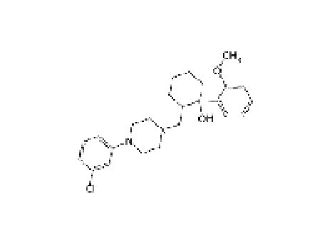 COc1ccccc1C1(O)CCCCC1CN1CCN(c2cccc(Cl)c2)CC1